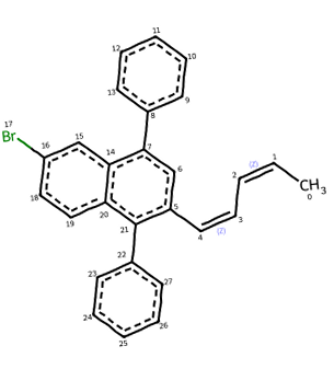 C/C=C\C=C/c1cc(-c2ccccc2)c2cc(Br)ccc2c1-c1ccccc1